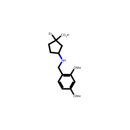 CCC1(C(=O)O)CCC(NCc2ccc(OC)cc2OC)C1